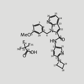 COc1cccc(Cn2c(C(=O)Nc3ccc(N4CCC4)nc3)cc3cccnc32)c1.O=C(O)C(F)(F)F